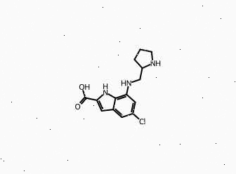 O=C(O)c1cc2cc(Cl)cc(NCC3CCCN3)c2[nH]1